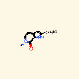 CCOC(=O)c1cc2ccn(C)c(=O)c2[nH]1